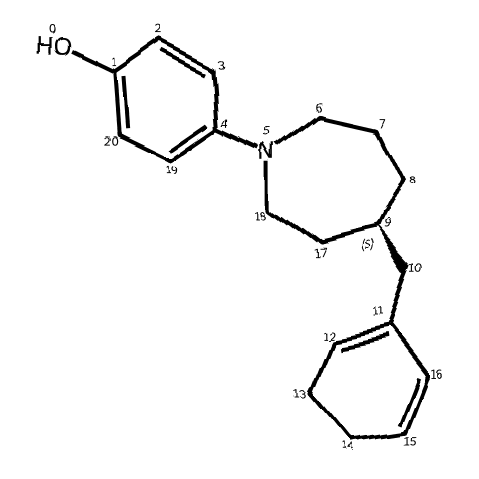 Oc1ccc(N2CCC[C@@H](CC3=CCCC=C3)CC2)cc1